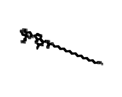 C#C[C@]1(CO)O[C@@H](n2cnc3c(NC(=O)OCCCCCCCCCCCCCCCC)nc(F)nc32)C[C@@H]1O